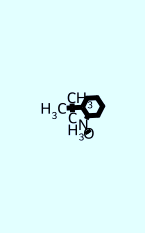 CC(C)(C)C1CCCCC1N=O